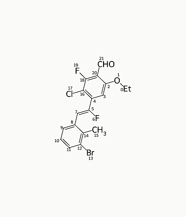 CCOc1cc(C(F)=Cc2cccc(Br)c2C)c(Cl)c(F)c1C=O